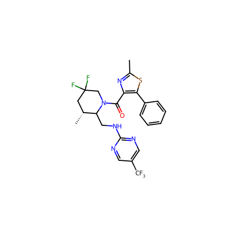 Cc1nc(C(=O)N2CC(F)(F)C[C@@H](C)C2CNc2ncc(C(F)(F)F)cn2)c(-c2ccccc2)s1